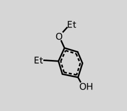 CCOc1ccc(O)cc1CC